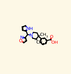 C[C@H]1CN(C(c2ccon2)c2ccc[nH]2)CC[C@@]1(C)c1cccc(C(=O)O)c1